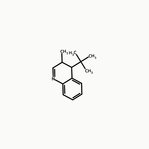 CC1C=Nc2ccccc2C1C(C)(C)C